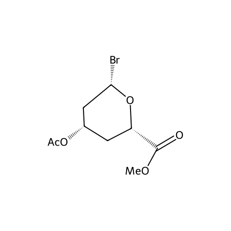 COC(=O)[C@@H]1C[C@H](OC(C)=O)C[C@H](Br)O1